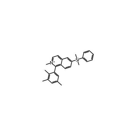 Cc1cc(C)c(C)c(-c2c3ccc([Si](C)(C)c4ccccc4)cc3cc[n+]2C)c1